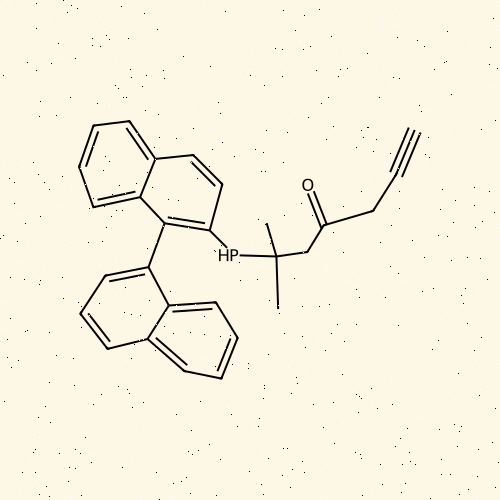 C#CCC(=O)CC(C)(C)Pc1ccc2ccccc2c1-c1cccc2ccccc12